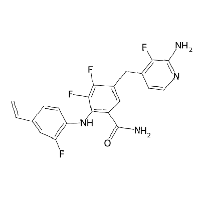 C=Cc1ccc(Nc2c(C(N)=O)cc(Cc3ccnc(N)c3F)c(F)c2F)c(F)c1